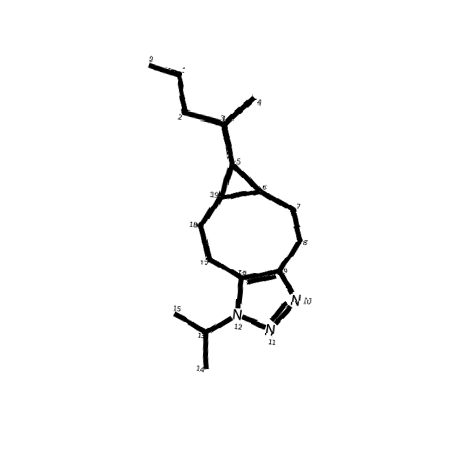 CCCC(C)C1C2CCc3nnn(C(C)C)c3CCC21